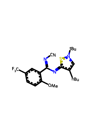 CCCCc1cn(C(C)(C)C)sc1=NC(=NC#N)c1cc(C(F)(F)F)ccc1OC